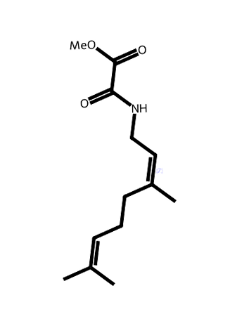 COC(=O)C(=O)NC/C=C(/C)CCC=C(C)C